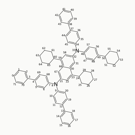 c1ccc(-c2ccc(N(c3ccc(-c4ccccc4)cc3)c3cc(C4CCCCC4)c4cc(N(c5ccc(-c6ccccc6)cc5)c5ccc(C6CCCCC6)cc5)cc(C5CCCCC5)c4c3)cc2)cc1